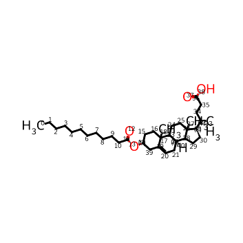 CCCCCCCCCCCC(=O)O[C@H]1CCC2(C)C(=CC[C@H]3C2CCC2(C)C3CC[C@@H]2[C@H](C)CCC(=O)O)C1